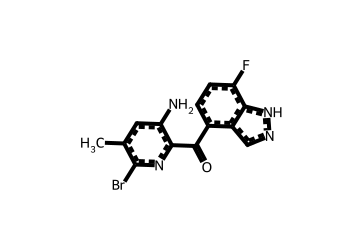 Cc1cc(N)c(C(=O)c2ccc(F)c3[nH]ncc23)nc1Br